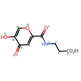 CCOC(=O)CCNC(=O)c1cc(=O)c(O)co1